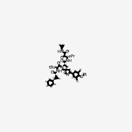 CCC[C@H](NC(=O)[C@@H]1C[C@]2(CC(c3cc(C)c(OCC)c(C)c3)=NO2)CN1C(=O)[C@@H](NC(=O)[C@@H]1C[C@H]1c1ccccc1)C(C)(C)C)C(=O)C(=O)NC1CC1